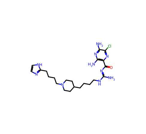 N/C(=N\C(=O)c1nc(Cl)c(N)nc1N)NCCCCC1CCN(CCCCc2ncc[nH]2)CC1